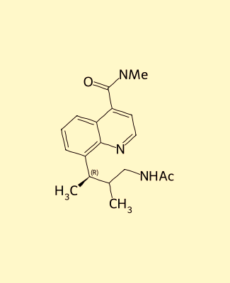 CNC(=O)c1ccnc2c([C@H](C)C(C)CNC(C)=O)cccc12